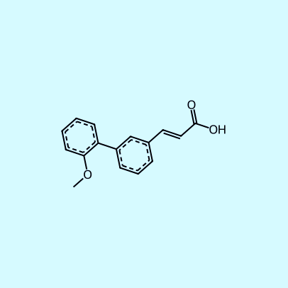 COc1ccccc1-c1cccc(/C=C/C(=O)O)c1